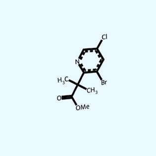 COC(=O)C(C)(C)c1ncc(Cl)cc1Br